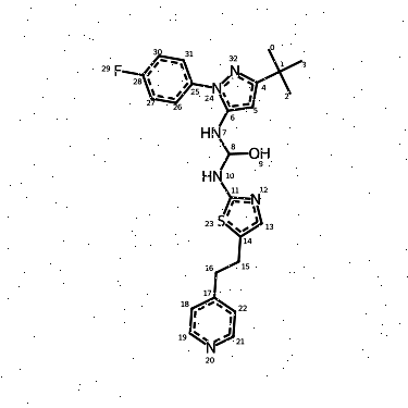 CC(C)(C)c1cc(NC(O)Nc2ncc(CCc3ccncc3)s2)n(-c2ccc(F)cc2)n1